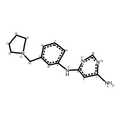 Nc1cc(Nc2cccc(CN3CCCC3)c2)ncn1